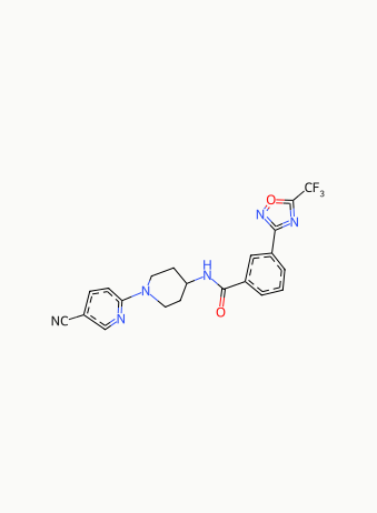 N#Cc1ccc(N2CCC(NC(=O)c3cccc(-c4noc(C(F)(F)F)n4)c3)CC2)nc1